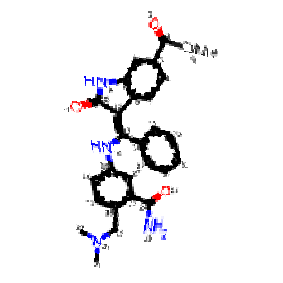 COC(=O)c1ccc2c(c1)NC(=O)/C2=C(\Nc1ccc(CN(C)C)c(C(N)=O)c1)c1ccccc1